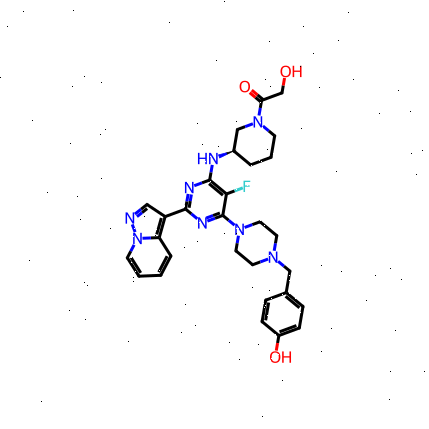 O=C(CO)N1CCC[C@@H](Nc2nc(-c3cnn4ccccc34)nc(N3CCN(Cc4ccc(O)cc4)CC3)c2F)C1